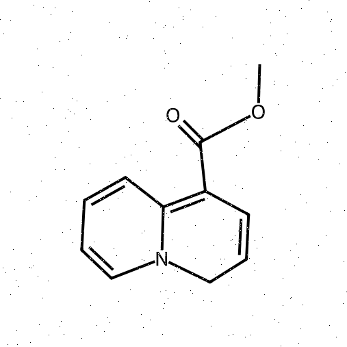 COC(=O)C1=C2C=CC=CN2CC=C1